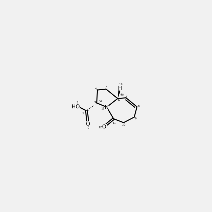 O=C(O)[C@@H]1CC[C@@H]2C=CCCC(=O)N21